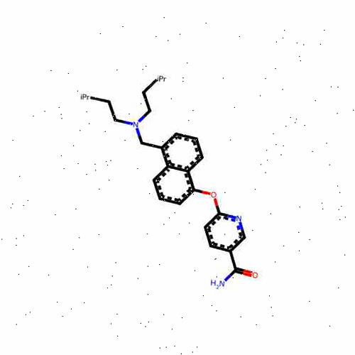 CC(C)CCN(CCC(C)C)Cc1cccc2c(Oc3ccc(C(N)=O)cn3)cccc12